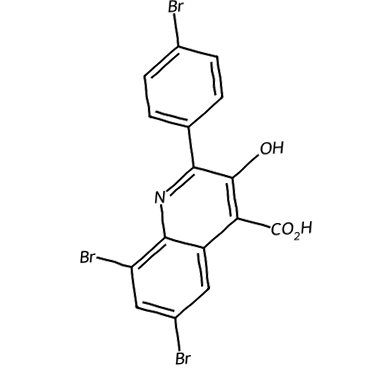 O=C(O)c1c(O)c(-c2ccc(Br)cc2)nc2c(Br)cc(Br)cc12